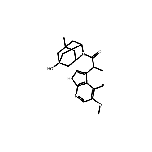 COc1cnc2[nH]cc(C(C)C(=O)N3C4CC5(C)CC3CC(O)(C4)C5)c2c1F